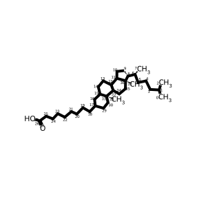 CC(C)CCC[C@@H](C)[C@H]1CCC2C3CCC4CC(CCCCCCCCC(=O)O)CC[C@]4(C)C3CC[C@@]21C